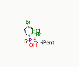 CCCC(C)CSP(O)(=S)c1ccc(Br)cc1Br.Cl